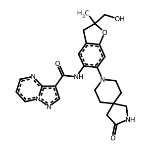 CC1(CO)Cc2cc(NC(=O)c3cnn4cccnc34)c(N3CCC4(CC3)CNC(=O)C4)cc2O1